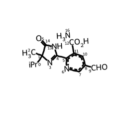 CC(C)C1(C)N=C(c2ncc(C=O)cc2C(=O)O)NC1=O.N